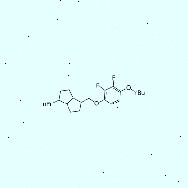 CCCCOc1ccc(OCC2CCC3C(CCC)CCC23)c(F)c1F